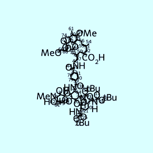 CNC1[C@@H](O)[C@@H](OC2[C@@H](O)[C@H](O[C@H]3OC(CNC(=O)OC(C)(C)C)CC[C@@H]3NC(=O)OC(C)(C)C)C(NC(=O)OC(C)(C)C)C[C@H]2NC(=O)c2ccc(C(=O)NC/C=C(\C)CC(C/C(C)=C/Cc3c(OC)c(C)c4c(c3OCOCCOC)C(=O)OC4)C(=O)O)cc2)OC[C@]1(C)O